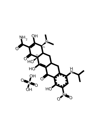 CC(C)Nc1cc([N+](=O)[O-])c(O)c2c1CC1CC3[C@H](N(C)C)C(O)=C(C(N)=O)C(=O)[C@@]3(O)C(O)=C1C2=O.O=S(=O)(O)O